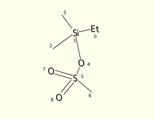 CC[Si](C)(C)OS(C)(=O)=O